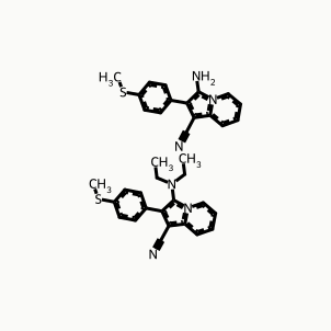 CCN(CC)c1c(-c2ccc(SC)cc2)c(C#N)c2ccccn12.CSc1ccc(-c2c(C#N)c3ccccn3c2N)cc1